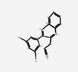 O=CCc1nc2ccccc2nc1-c1cc(F)cc(F)c1